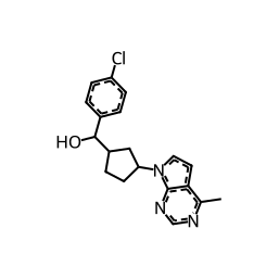 Cc1ncnc2c1ccn2C1CCC(C(O)c2ccc(Cl)cc2)C1